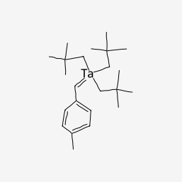 Cc1ccc([CH]=[Ta]([CH2]C(C)(C)C)([CH2]C(C)(C)C)[CH2]C(C)(C)C)cc1